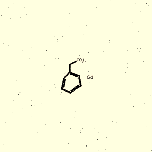 O=C(O)Cc1ccccc1.[Gd]